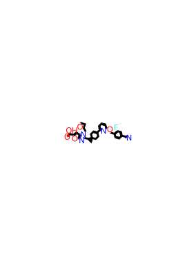 N#Cc1ccc(COc2cccc(C3=CCC4(CC3)CC4c3nc4oc(C(=O)O)cc4n3CC3CCO3)n2)c(F)c1